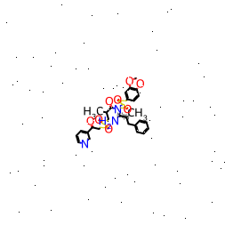 CC(CS(=O)(=O)CC(=O)c1cccnc1)C(=O)N([C@H](N)[C@@H](C)Cc1ccccc1)S(=O)(=O)c1ccc2c(c1)OCO2